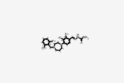 NC(=S)NN=Cc1ccc(N2CCCN(Cc3c(F)cccc3Cl)CC2)c(F)c1F